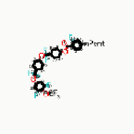 CCCCCc1ccc(C(=O)OC2CCC(C(F)(F)OC3CCC(C(F)(F)Oc4cc(F)c(OC(F)(F)F)c(F)c4)CC3)CC2)c(F)c1